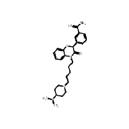 CN(C)C1CCN(CCCCCN2C(=O)C(c3cccc(C(=N)N)c3)Sc3ccccc32)CC1